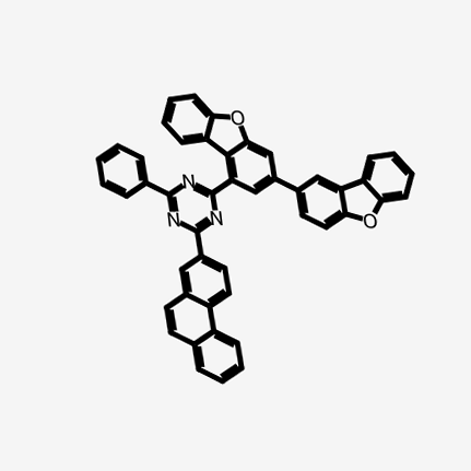 c1ccc(-c2nc(-c3ccc4c(ccc5ccccc54)c3)nc(-c3cc(-c4ccc5oc6ccccc6c5c4)cc4oc5ccccc5c34)n2)cc1